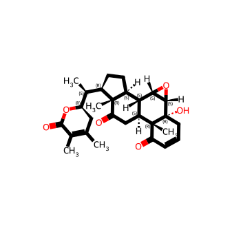 CC1=C(C)C(=O)O[C@@H]([C@@H](C)[C@H]2CC[C@H]3[C@@H]4[C@@H]5O[C@@H]5[C@@]5(O)CC=CC(=O)[C@]5(C)[C@H]4CC(=O)[C@]23C)C1